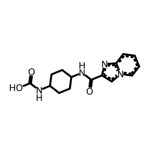 O=C(O)NC1CCC(NC(=O)c2cn3ccccc3n2)CC1